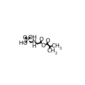 C=C(C)C(=O)OC(=O)CNCP(=O)(O)O